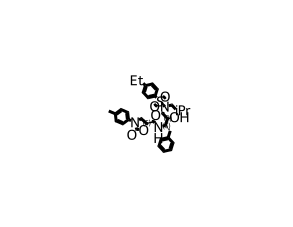 CCc1ccc(S(=O)(=O)N(CC(C)C)C[C@@H](O)[C@H](Cc2ccccc2)NC(=O)[C@@H]2CN(c3ccc(C)cc3)C(=O)O2)cc1